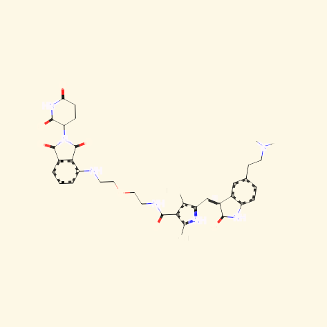 Cc1[nH]c(/C=C2\C(=O)Nc3ccc(CCN(C)C)cc32)c(C)c1C(=O)NCCOCCNc1cccc2c1C(=O)N(C1CCC(=O)NC1=O)C2=O